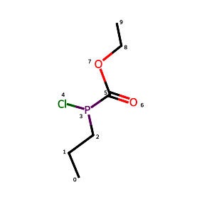 CCCP(Cl)C(=O)OCC